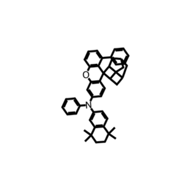 CC1(C)CCC(C)(C)c2cc(N(c3ccccc3)c3ccc4c(c3)Oc3cccc(-c5ccccc5)c3C43C4CC5CC6CC3C64C5)ccc21